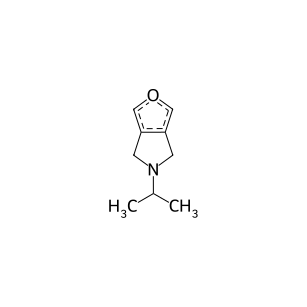 CC(C)N1Cc2cocc2C1